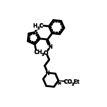 CCOC(=O)[C@@H]1CCCN(CCON=C(c2ccccc2C)c2sccc2C)C1